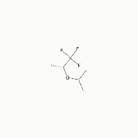 CC(C)O[C@H](C)C(F)(F)F